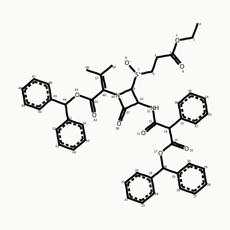 CCOC(=O)CC[S+]([O-])C1C(NC(=O)C(C(=O)OC(c2ccccc2)c2ccccc2)c2ccccc2)C(=O)N1C(C(=O)OC(c1ccccc1)c1ccccc1)=C(C)C